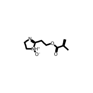 C=C(C)C(=O)OCCC1=NCC[NH+]1[O-]